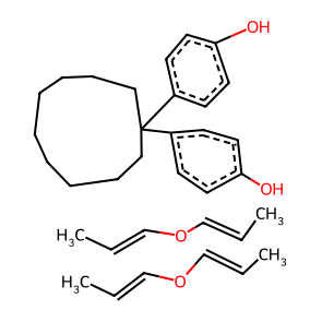 CC=COC=CC.CC=COC=CC.Oc1ccc(C2(c3ccc(O)cc3)CCCCCCCCC2)cc1